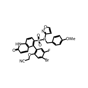 COc1ccc(CN(c2ccon2)S(=O)(=O)c2ccc3[nH]c(=O)ccc3c2-c2cc(F)c(Br)cc2OCC#N)cc1